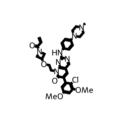 C=CC(=O)N1CC(OCCn2c(=O)c(-c3cc(OC)cc(OC)c3Cl)cc3cnc(Nc4ccc(N5CCN(C)CC5)cc4)nc32)C1